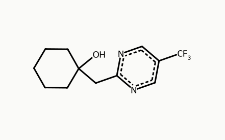 OC1(Cc2ncc(C(F)(F)F)cn2)CCCCC1